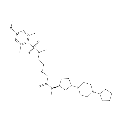 COc1cc(C)c(S(=O)(=O)N(C)CCOCC(=O)N(C)[C@H]2CCC(N3CCN(C4CCCC4)CC3)C2)c(C)c1